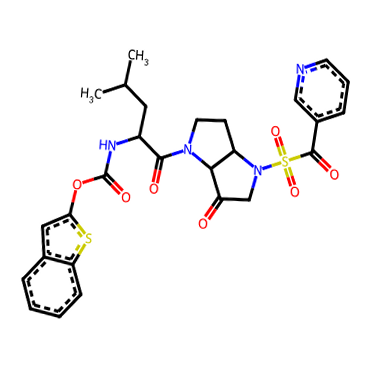 CC(C)CC(NC(=O)Oc1cc2ccccc2s1)C(=O)N1CCC2C1C(=O)CN2S(=O)(=O)C(=O)c1cccnc1